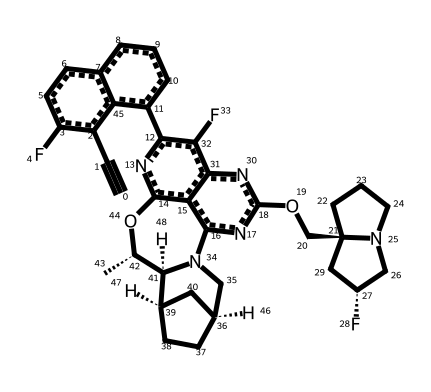 C#Cc1c(F)ccc2cccc(-c3nc4c5c(nc(OC[C@@]67CCCN6C[C@H](F)C7)nc5c3F)N3C[C@H]5CC[C@H](C5)[C@H]3[C@H](C)O4)c12